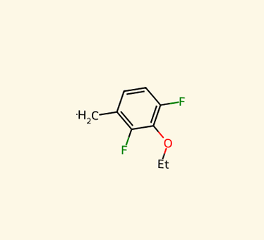 [CH2]c1ccc(F)c(OCC)c1F